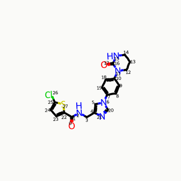 O=C(NCc1cn(-c2ccc(N3CCCNC3=O)cc2)cn1)c1ccc(Cl)s1